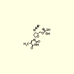 Cc1cn([C@@H]2C[C@H](N=[N+]=[N-])[C@@H](COP(=O)(O)S)O2)c(=O)[nH]c1=O